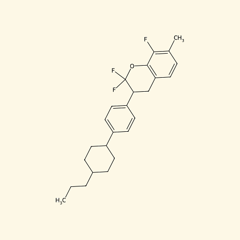 CCCC1CCC(c2ccc(C3Cc4ccc(C)c(F)c4OC3(F)F)cc2)CC1